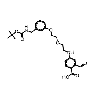 CC(C)(C)OC(=O)NCc1cccc(OCCOCCNc2ccc(C(=O)O)c(C=O)c2)c1